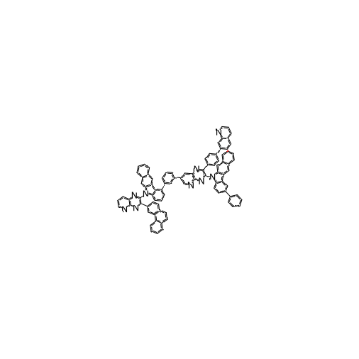 c1ccc(-c2ccc3c(c2)c2cc4ccccc4cc2n3-c2nc3ncc(-c4cccc(-c5cccc6c5c5cc7ccccc7cc5n6-c5nc6cccnc6nc5-c5ccc6ccc7ccccc7c6c5)c4)cc3nc2-c2ccc(-c3ccc4cccnc4c3)cc2)cc1